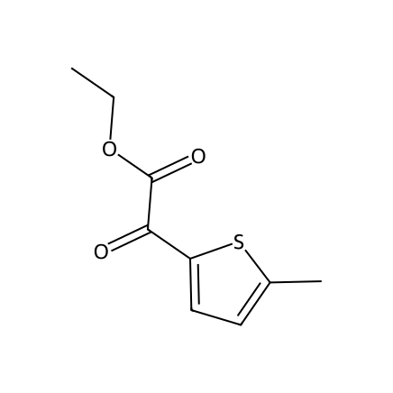 CCOC(=O)C(=O)c1ccc(C)s1